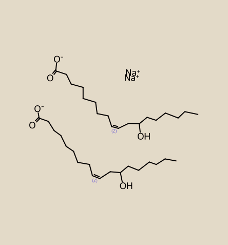 CCCCCCC(O)C/C=C\CCCCCCCC(=O)[O-].CCCCCCC(O)C/C=C\CCCCCCCC(=O)[O-].[Na+].[Na+]